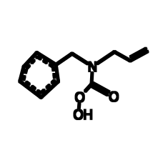 C=CCN(Cc1ccccc1)C(=O)OO